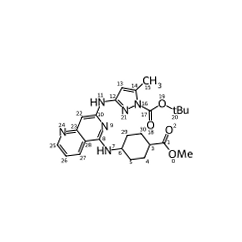 COC(=O)C1CCC(Nc2nc(Nc3cc(C)n(C(=O)OC(C)(C)C)n3)cc3ncccc23)CC1